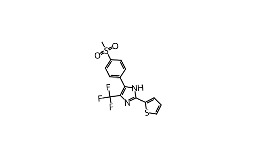 CS(=O)(=O)c1ccc(-c2[nH]c(-c3cccs3)nc2C(F)(F)F)cc1